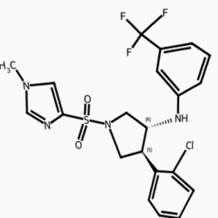 Cn1cnc(S(=O)(=O)N2C[C@H](Nc3cccc(C(F)(F)F)c3)[C@@H](c3ccccc3Cl)C2)c1